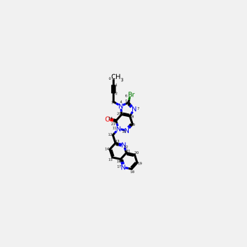 CC#CCn1c(Br)nc2cnn(Cc3ccc4ncccc4n3)c(=O)c21